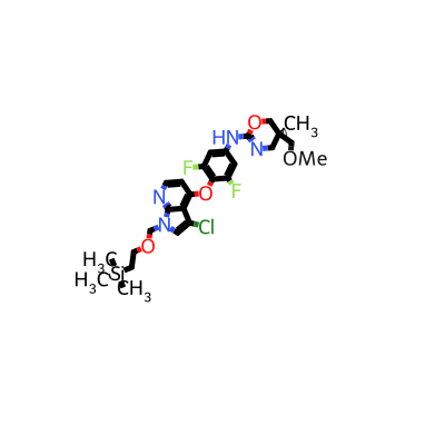 COC[C@@]1(C)CN=C(Nc2cc(F)c(Oc3ccnc4c3c(Cl)cn4COCC[Si](C)(C)C)c(F)c2)OC1